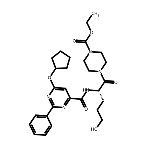 CCOC(=O)N1CCN(C(=O)[C@H](CCCO)NC(=O)c2cc(OC3CCCC3)nc(-c3ccccc3)n2)CC1